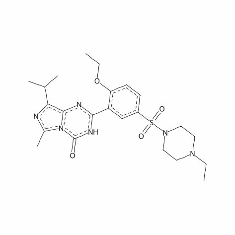 CCOc1ccc(S(=O)(=O)N2CCN(CC)CC2)cc1-c1nc2c(C(C)C)nc(C)n2c(=O)[nH]1